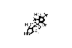 CC(C)(OC(=O)c1c(Br)cc(Br)c(O)c1Br)C1CCNCC1